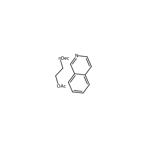 CCCCCCCCCCCCOC(C)=O.c1ccc2cnccc2c1